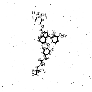 CC(C)Oc1cccc(-c2cn(COCC[Si](C)(C)C)c3nccc(Oc4c(F)cc(NC(=O)NCC5(C)COC5)cc4F)c23)c1F